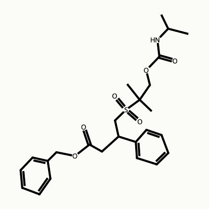 CC(C)NC(=O)OCC(C)(C)S(=O)(=O)CC(CC(=O)OCc1ccccc1)c1ccccc1